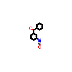 O=C=Nc1cccc(C(=O)c2ccccc2)c1